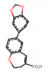 O=C(O)C1=Cc2cc(-c3ccc4c(c3)OCO4)ccc2OCC1